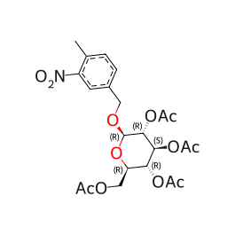 CC(=O)OC[C@H]1O[C@@H](OCc2ccc(C)c([N+](=O)[O-])c2)[C@H](OC(C)=O)[C@@H](OC(C)=O)[C@@H]1OC(C)=O